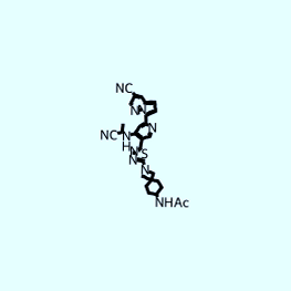 CC(=O)NC1CCC2(CC1)CN(c1nnc(-c3cnc(-c4ccc5cc(C#N)cnn45)cc3NC(C)C#N)s1)C2